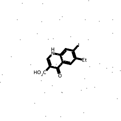 CCc1cc2c(=O)c(C(=O)O)c[nH]c2cc1I